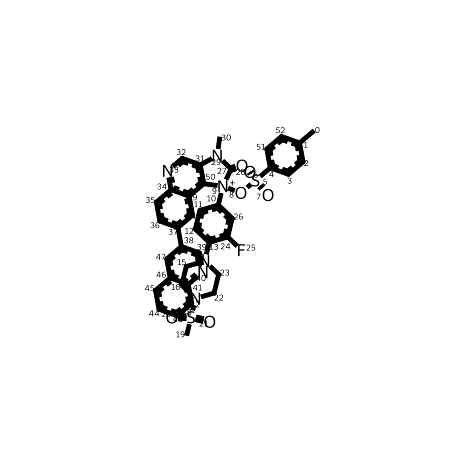 Cc1ccc(S(=O)(=O)O[N+]2(c3ccc(N4CCN(S(C)(=O)=O)CC4)c(F)c3)C(=O)N(C)c3cnc4ccc(-c5cnc6ccccc6c5)cc4c32)cc1